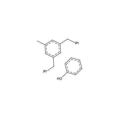 Cc1cc(CC(C)C)cc(CC(C)C)c1.Oc1ccccc1